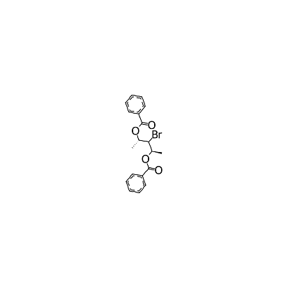 C[C@H](OC(=O)c1ccccc1)C(Br)[C@@H](C)OC(=O)c1ccccc1